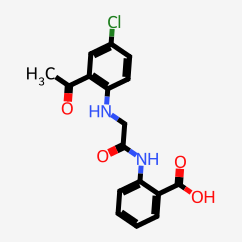 CC(=O)c1cc(Cl)ccc1NCC(=O)Nc1ccccc1C(=O)O